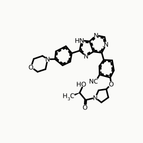 C[C@@H](O)C(=O)N1CCC(Oc2ccc(-c3ncnc4[nH]c(-c5ccc(N6CCOCC6)cc5)nc34)cc2C#N)C1